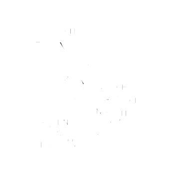 CC(C)[C@H]1CC[C@@H](OC[C@H]2[C@@H](NS(C)(=O)=O)CCCN2C(=O)C(C)(C)C)CC1